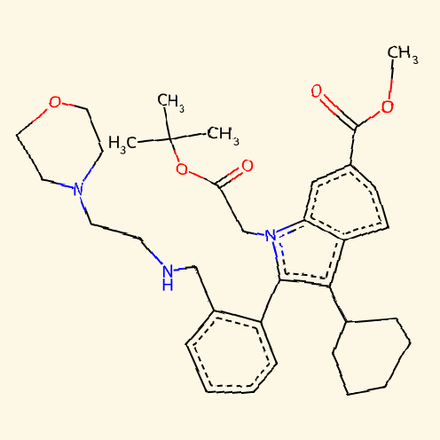 COC(=O)c1ccc2c(C3CCCCC3)c(-c3ccccc3CNCCN3CCOCC3)n(CC(=O)OC(C)(C)C)c2c1